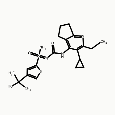 CCc1nc2c(c(NC(=O)N=S(N)(=O)c3cc(C(C)(C)O)cs3)c1C1CC1)CCC2